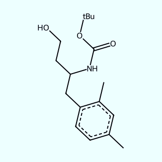 Cc1ccc(CC(CCO)NC(=O)OC(C)(C)C)c(C)c1